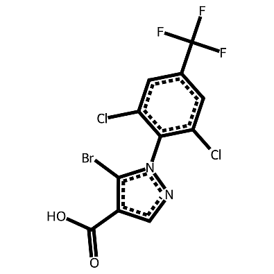 O=C(O)c1cnn(-c2c(Cl)cc(C(F)(F)F)cc2Cl)c1Br